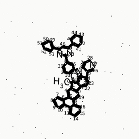 CC1(C)c2cc3c4ccccc4c4ccccc4c3cc2-c2ccc3c4cnccc4n(-c4cccc(-c5nc(-c6ccccc6)cc(-c6ccccc6)n5)c4)c3c21